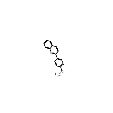 COc1ccc(-c2ccc3ccccc3n2)cn1